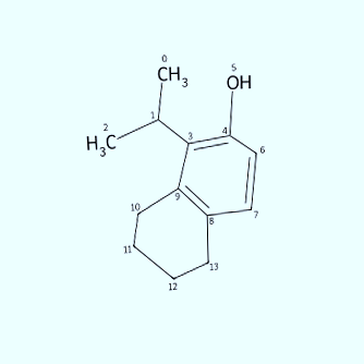 CC(C)c1c(O)ccc2c1CCCC2